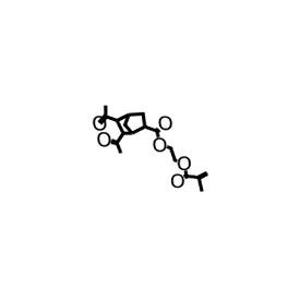 C=C(C)C(=O)OCCOC(=O)C1CC2CC1C(C(C)=O)C2C(C)=O